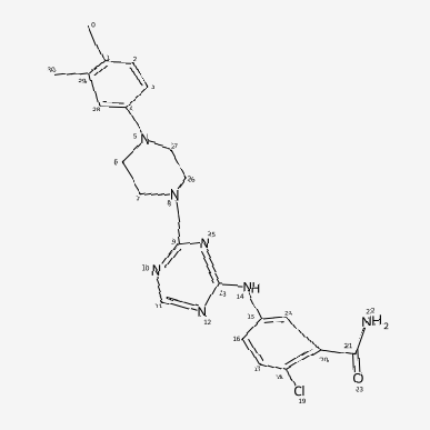 Cc1ccc(N2CCN(c3ncnc(Nc4ccc(Cl)c(C(N)=O)c4)n3)CC2)cc1C